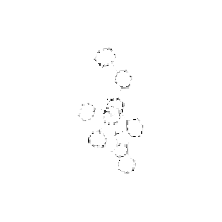 c1ccc(-c2cccc(-c3cc(-c4cccc5c4C4(c6ccccc6-c6ccccc64)c4sc6ccccc6c4-5)nc(-c4ccccc4)n3)c2)cc1